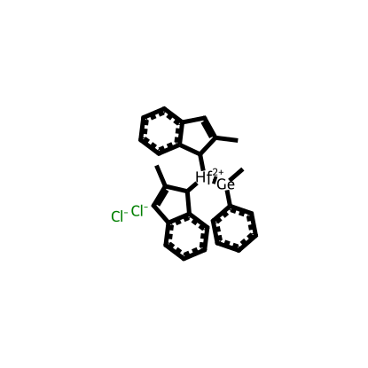 CC1=Cc2ccccc2[CH]1[Hf+2]([CH]1C(C)=Cc2ccccc21)=[Ge]([CH3])[c]1ccccc1.[Cl-].[Cl-]